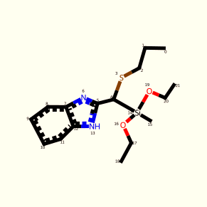 CCCSC(c1nc2ccccc2[nH]1)[Si](C)(OCC)OCC